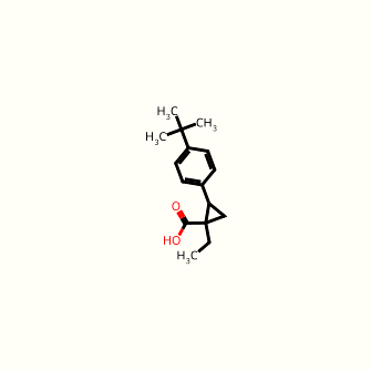 CCC1(C(=O)O)CC1c1ccc(C(C)(C)C)cc1